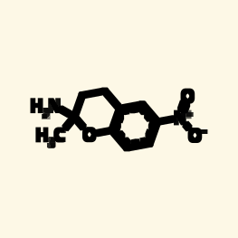 CC1(N)CCc2cc([N+](=O)[O-])ccc2O1